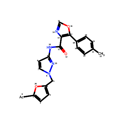 CC(=O)c1ccc(Cn2ccc(NC(=O)c3ncoc3-c3ccc(C)cc3)n2)o1